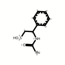 CCC(C)C(=O)NC(CS(=O)(=O)O)c1ccccc1